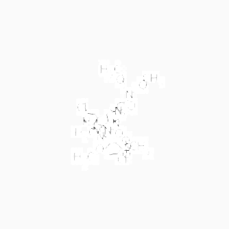 CCOCCN(CCOC)C(=O)CN1CCN(C(=O)N2C(c3cc(S(C)(=O)=O)c(Cl)cc3OCC)=N[C@@](C)(c3ccc(Cl)cc3)[C@@]2(C)c2ccc(Cl)cc2)CC1